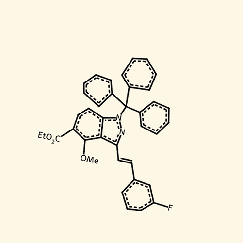 CCOC(=O)c1ccc2c(c(/C=C/c3cccc(F)c3)nn2C(c2ccccc2)(c2ccccc2)c2ccccc2)c1OC